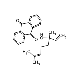 C=CC(C)(O)CCC=C(C)C.O=C1c2ccccc2C(=O)c2ccccc21